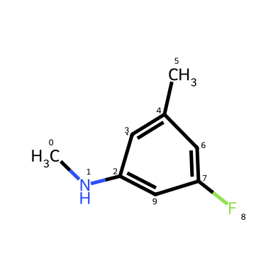 CNc1[c]c(C)cc(F)c1